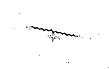 CCCCCCCCCCCC(Br)CCCCCCCCCC.CNC